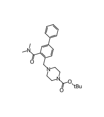 CN(C)C(=O)c1cc(-c2ccccc2)ccc1CN1CCN(C(=O)OC(C)(C)C)CC1